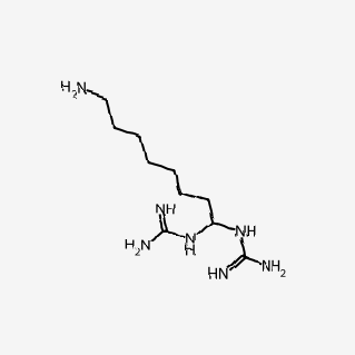 N=C(N)NC(CCCCCCCN)NC(=N)N